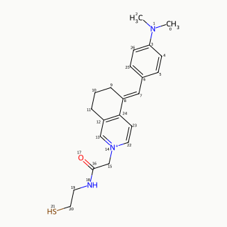 CN(C)c1ccc(/C=C2\CCCc3c[n+](CC(=O)NCCS)ccc32)cc1